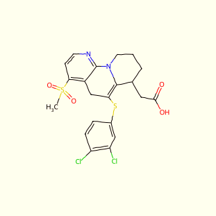 CS(=O)(=O)c1ccnc2c1CC(Sc1ccc(Cl)c(Cl)c1)=C1C(CC(=O)O)CCCN12